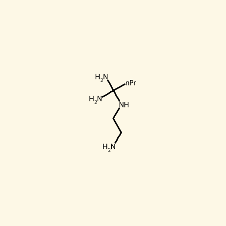 CCCC(N)(N)NCCN